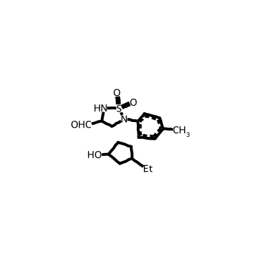 CCC1CCC(O)C1.Cc1ccc(N2CC(C=O)NS2(=O)=O)cc1